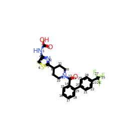 O=C(O)Nc1csc(C2CCN(C(=O)c3ccccc3-c3ccc(C(F)(F)F)cc3)CC2)n1